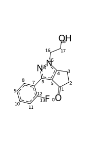 O=C1CCc2c1c(-c1ccccc1F)nn2CCO